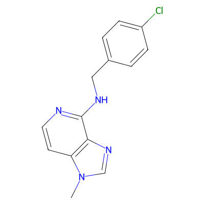 Cn1cnc2c(NCc3ccc(Cl)cc3)nccc21